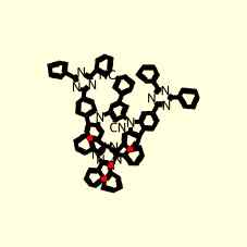 N#Cc1cccc(-c2cc(-n3c4cc(-c5nc(-c6ccccc6)nc(-c6ccccc6)n5)ccc4c4ccc(-c5nc(-c6ccccc6)nc(-c6ccccc6)n5)cc43)c(C#N)c(-n3c4cc(-c5nc(-c6ccccc6)nc(-c6ccccc6)n5)ccc4c4ccc(-c5nc(-c6ccccc6)nc(-c6ccccc6)n5)cc43)c2)c1